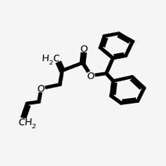 C=CCOCC(=C)C(=O)OC(c1ccccc1)c1ccccc1